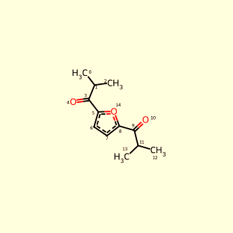 CC(C)C(=O)c1ccc(C(=O)C(C)C)o1